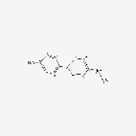 NNc1ccc(-c2ccc([N+](=O)[O-])cc2)cn1